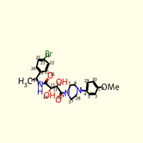 COc1ccc(N2CCN(C(=O)[C@H](O)[C@@H](O)C(=O)N[C@@H](C)c3ccc(Br)cc3)CC2)cc1